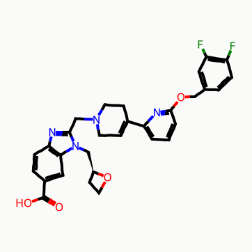 O=C(O)c1ccc2nc(CN3CC=C(c4cccc(OCc5ccc(F)c(F)c5)n4)CC3)n(C[C@@H]3CCO3)c2c1